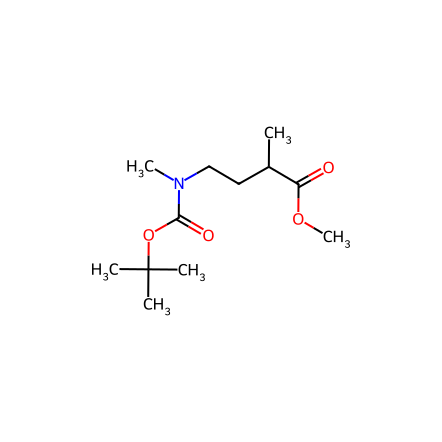 COC(=O)C(C)CCN(C)C(=O)OC(C)(C)C